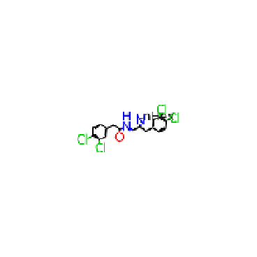 CCCCCCN=C(CNC(=O)Cc1ccc(Cl)c(Cl)c1)Cc1ccc(Cl)c(Cl)c1